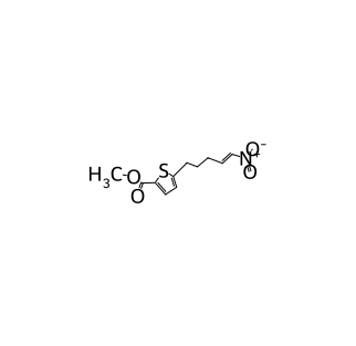 COC(=O)c1ccc(CCCC=C[N+](=O)[O-])s1